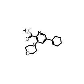 CC(=O)c1ncc(C2=CCCCC2)cc1N1CCOCC1